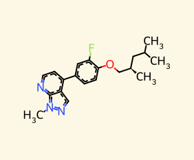 CC(C)C[C@@H](C)COc1ccc(-c2ccnc3c2cnn3C)cc1F